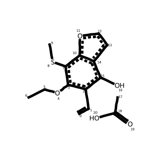 C=Cc1c(OCC)c(SC)c2occc2c1O.CC(=O)O